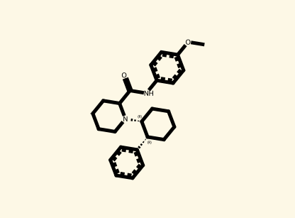 COc1ccc(NC(=O)C2C[CH]CCN2[C@@H]2CCCC[C@@H]2c2ccccc2)cc1